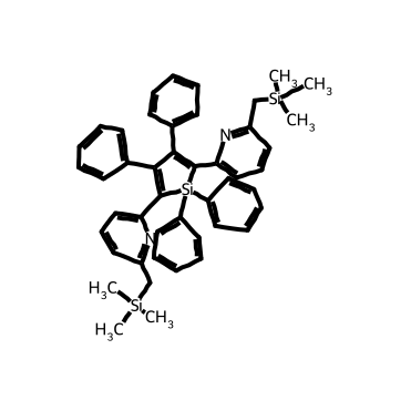 C[Si](C)(C)Cc1cccc(C2=C(c3ccccc3)C(c3ccccc3)=C(c3cccc(C[Si](C)(C)C)n3)[Si]2(c2ccccc2)c2ccccc2)n1